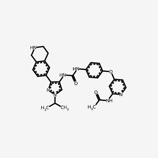 CC(=O)Nc1cc(Oc2ccc(NC(=O)Nc3cn(C(C)C)nc3-c3ccc4c(c3)CCNC4)cc2)ccn1